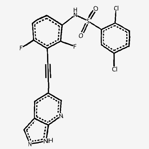 O=S(=O)(Nc1ccc(F)c(C#Cc2cnc3[nH]ncc3c2)c1F)c1cc(Cl)ccc1Cl